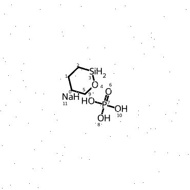 C1CC[SiH2]OC1.O=P(O)(O)O.[NaH]